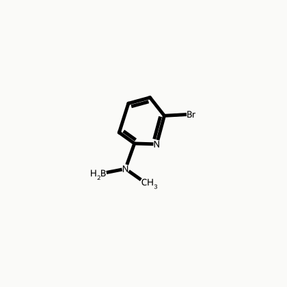 BN(C)c1cccc(Br)n1